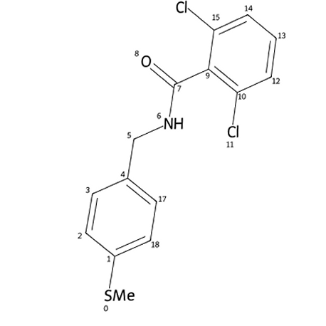 CSc1ccc(CNC(=O)c2c(Cl)cccc2Cl)cc1